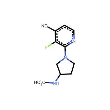 N#Cc1ccnc(N2CCC(NC(=O)O)C2)c1F